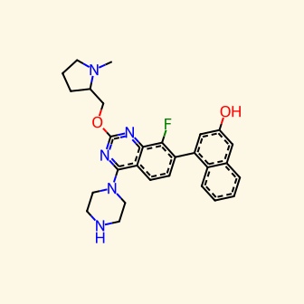 CN1CCCC1COc1nc(N2CCNCC2)c2ccc(-c3cc(O)cc4ccccc34)c(F)c2n1